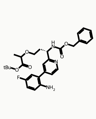 CC(OCC[C@H](NC(=O)OCc1ccccc1)c1cc(-c2cc(F)ccc2N)ccn1)C(=O)OC(C)(C)C